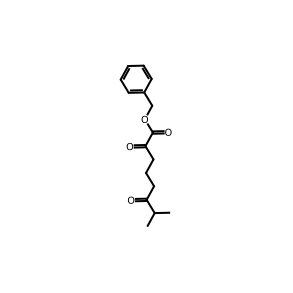 CC(C)C(=O)CCCC(=O)C(=O)OCc1ccccc1